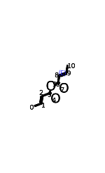 CC=CC(=O)OC(=O)/C=C/C